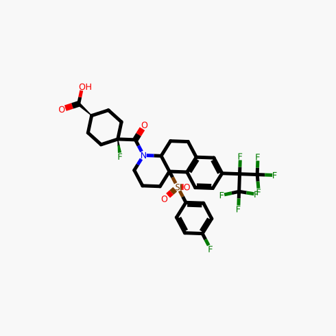 O=C(O)[C@H]1CC[C@](F)(C(=O)N2CCCC3(S(=O)(=O)c4ccc(F)cc4)c4ccc(C(F)(C(F)(F)F)C(F)(F)F)cc4CCC23)CC1